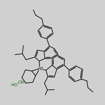 CCCc1ccc(-c2cccc3c2C=C(CC(C)C)[CH]3[Hf]2([CH]3C(CC(C)C)=Cc4c(-c5ccc(CCC)cc5)cccc43)[CH]3CCCC[CH]32)cc1.Cl.Cl